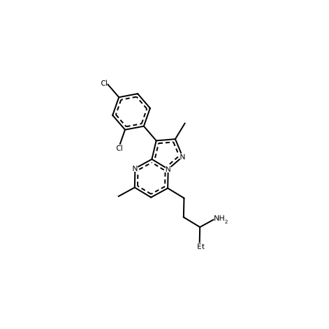 CCC(N)CCc1cc(C)nc2c(-c3ccc(Cl)cc3Cl)c(C)nn12